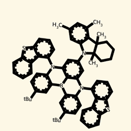 Cc1cc(C)c2c(c1)N(c1cc3c4c(c1)N(c1cccc5sc6ccccc6c15)c1ccc(C(C)(C)C)cc1B4c1cc(C(C)(C)C)ccc1N3c1cccc3sc4ccccc4c13)C1(C)CCCCC21C